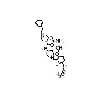 CCOc1ccc(OCOC)c(F)c1CN1CCN(C(=O)C(OC(N)=O)C2CCN(CCc3ccccc3)CC2)CC1